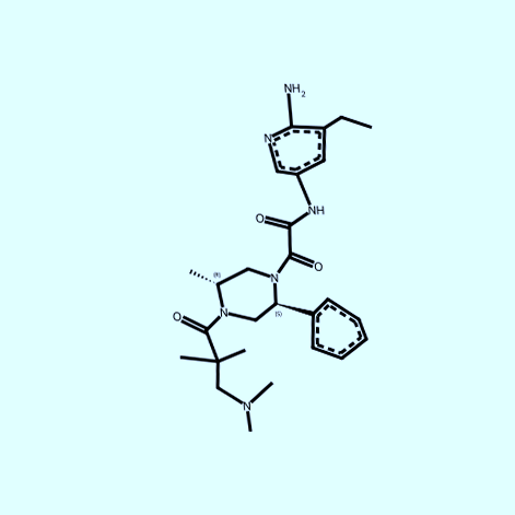 CCc1cc(NC(=O)C(=O)N2C[C@@H](C)N(C(=O)C(C)(C)CN(C)C)C[C@@H]2c2ccccc2)cnc1N